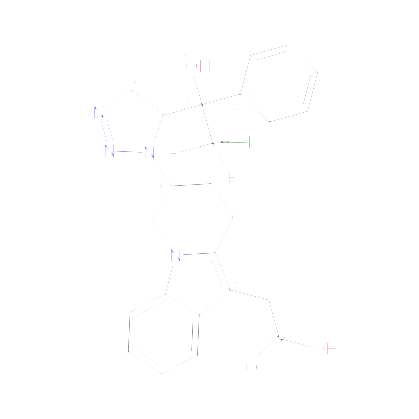 O=C(O)Cc1c2n(c3ccccc13)CC(N1N=NCC1C(O)(c1ccccc1)C(F)(F)F)CC2